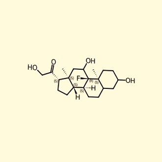 C[C@]12CC(O)[C@@]3(F)[C@@H](CCC4CC(O)CC[C@@]43C)[C@@H]1CC[C@@H]2C(=O)CO